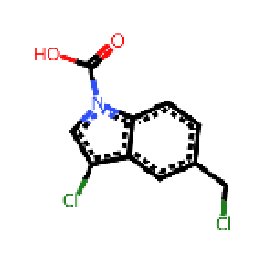 O=C(O)n1cc(Cl)c2cc(CCl)ccc21